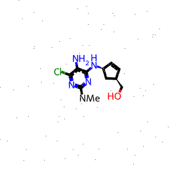 CNc1nc(Cl)c(N)c(N[C@H]2C=C[C@@H](CO)C2)n1